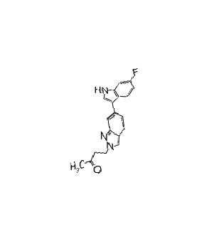 CC(=O)CCn1cc2ccc(-c3c[nH]c4cc(F)ccc34)cc2n1